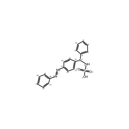 O=S(=O)(O)NN(c1ccccc1)c1ccc(/N=N/c2ccccc2)cc1